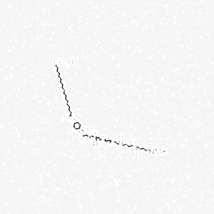 CN[C@@H](CCCCNC(=O)CCC(=O)NCCOCCOCCNC(=O)CC[C@H](NC(=O)[C@H]1CC[C@H](CNC(=O)CCCCCCCCCCCCCCCCCCC(=O)O)CC1)C(=O)O)C(C)=O